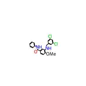 COc1ccc(C(=O)Nc2ccccc2)cc1NCc1cc(Cl)cc(Cl)c1